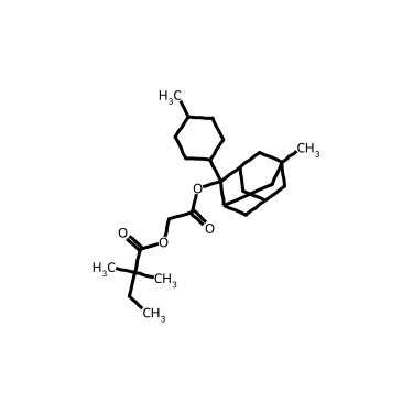 CCC(C)(C)C(=O)OCC(=O)OC1(C2CCC(C)CC2)C2CC3CC1CC(C)(C3)C2